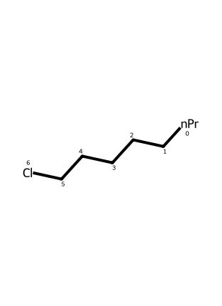 [CH2]CCCCCCCCl